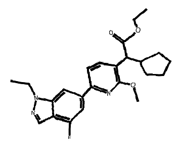 CCOC(=O)C(c1ccc(-c2cc(F)c3cnn(CC)c3c2)nc1OC)C1CCCC1